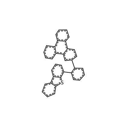 c1ccc(-c2cccc3c2sc2ccccc23)c(-c2ccc3c4ccccc4c4ccccc4c3c2)c1